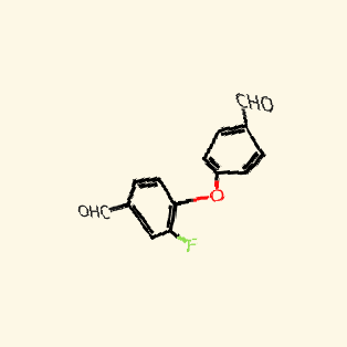 O=Cc1ccc(Oc2ccc(C=O)cc2F)cc1